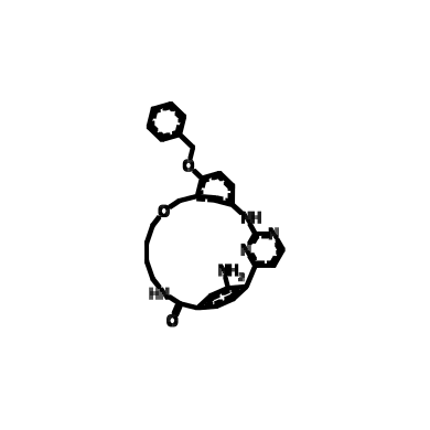 Nc1cc2ccc1-c1ccnc(n1)Nc1ccc(OCc3ccccc3)c(c1)COCCCCNC2=O